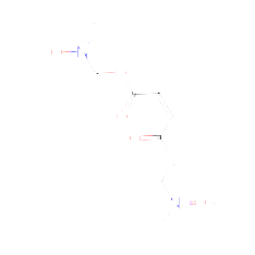 O=C(/C=C\C(=O)OC[N+](=O)[O-])OC[N+](=O)[O-]